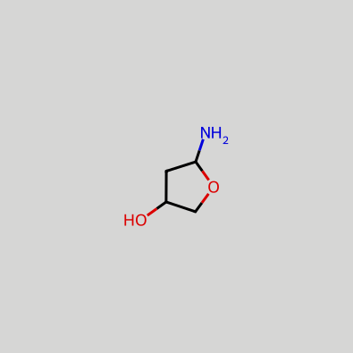 NC1CC(O)CO1